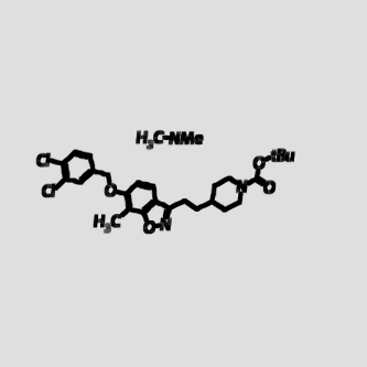 CNC.Cc1c(OCc2ccc(Cl)c(Cl)c2)ccc2c(CCC3CCN(C(=O)OC(C)(C)C)CC3)noc12